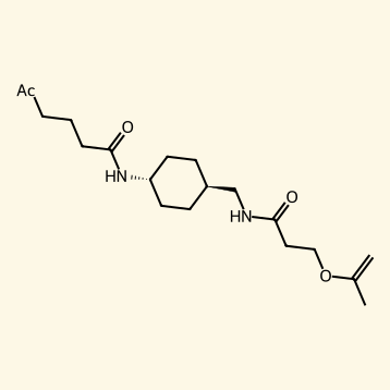 C=C(C)OCCC(=O)NC[C@H]1CC[C@H](NC(=O)CCCC(C)=O)CC1